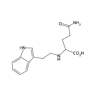 NC(=O)CCC(NCCc1c[nH]c2ccccc12)C(=O)O